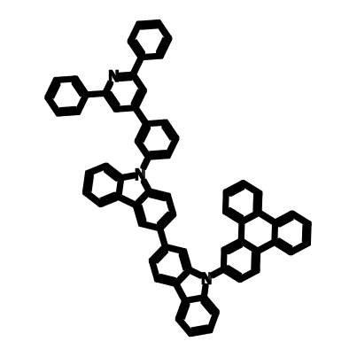 c1ccc(-c2cc(-c3cccc(-n4c5ccccc5c5cc(-c6ccc7c8ccccc8n(-c8ccc9c%10ccccc%10c%10ccccc%10c9c8)c7c6)ccc54)c3)cc(-c3ccccc3)n2)cc1